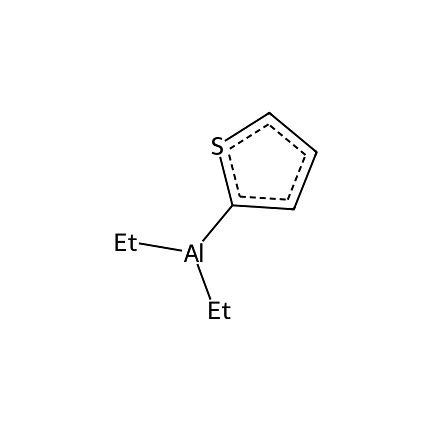 C[CH2][Al]([CH2]C)[c]1cccs1